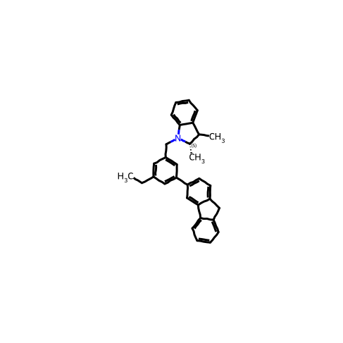 CCc1cc(CN2c3ccccc3C(C)[C@@H]2C)cc(-c2ccc3c(c2)-c2ccccc2C3)c1